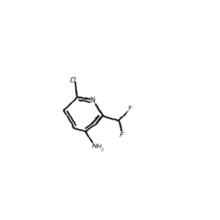 Nc1ccc(Cl)nc1C(F)F